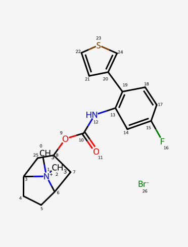 C[N+]1(C)C2CCC1CC(OC(=O)Nc1cc(F)ccc1-c1ccsc1)C2.[Br-]